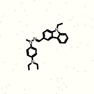 CCN(CC)c1ccc(N(C)N=Cc2ccc3c(c2)c2ccccc2n3CC)cc1